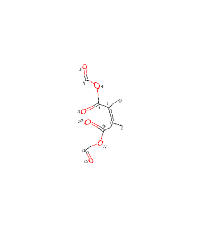 C/C(C(=O)OC=O)=C(\C)C(=O)OC=O